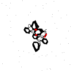 c1ccc([SiH]2c3ccccc3[Si]3(c4ccccc4Sc4ccccc43)c3cc(N4c5ccccc5Oc5ccccc54)ccc32)cc1